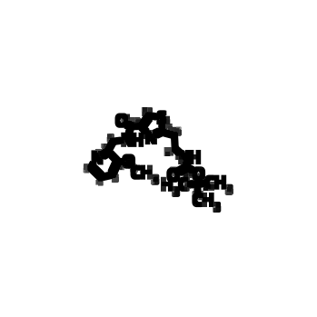 COc1cccnc1CNC(=O)c1csc(CCNC(=O)OC(C)(C)C)n1